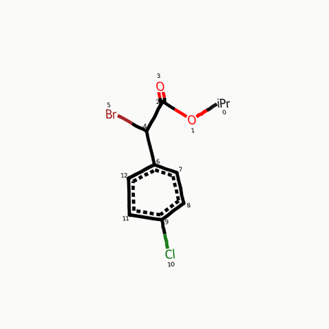 CC(C)OC(=O)C(Br)c1ccc(Cl)cc1